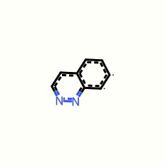 [c]1[c]c2nnccc2cc1